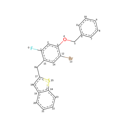 Fc1cc(OCc2ccccc2)c(Br)cc1Cc1cc2ccccc2s1